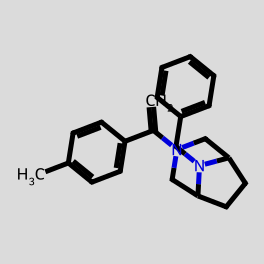 C=C(c1ccc(C)cc1)N1CC2CCC(C1)N2Cc1ccccc1